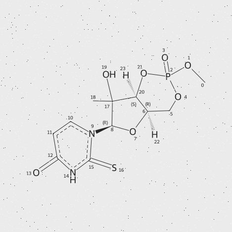 COP1(=O)OC[C@H]2O[C@@H](n3ccc(=O)[nH]c3=S)C(C)(O)[C@H]2O1